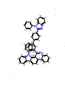 c1ccc(-n2c(-c3ccc(-c4cccc(-c5nc6ccccc6c6ccc7c8ccccc8n(-c8ccccc8)c7c56)c4)cc3)nc3ccccc32)cc1